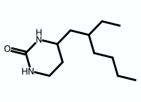 CCCCC(CC)CC1CCNC(=O)N1